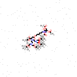 CC(=O)OCC(COC(C)=O)(COC(C)=O)C(=O)NCCCCCCOC(=O)CC(C(=O)OC(C)(C)C)N(CCN(CC(=O)OC(C)(C)C)CC(=O)OC(C)(C)C)CCN(CC(=O)OC(C)(C)C)CC(=O)OC(C)(C)C